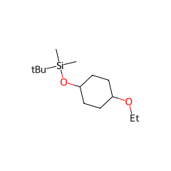 CCOC1CCC(O[Si](C)(C)C(C)(C)C)CC1